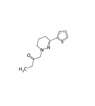 CCC(=O)CN1CCCC(c2cccs2)=N1